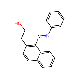 OCCc1ccc2ccccc2c1N=Nc1ccccc1